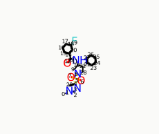 Cn1cnc(S(=O)(=O)N2C[C@@H](NC(=O)c3cccc(F)c3)[C@H](c3ccccc3)C2)c1